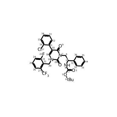 CC(C)(C)OC(=O)N[C@@H](Cn1c(=O)c(-c2ccccc2Cl)cn(Cc2c(F)cccc2C(F)(F)F)c1=O)c1ccccc1